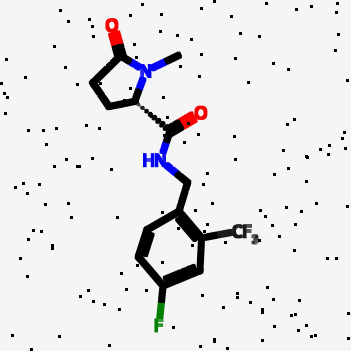 CN1C(=O)CC[C@H]1C(=O)NCc1ccc(F)cc1C(F)(F)F